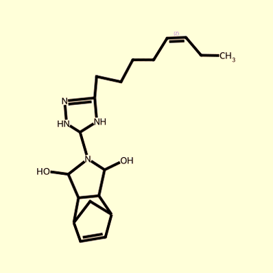 CC/C=C\CCCCC1=NNC(N2C(O)C3C4C=CC(C4)C3C2O)N1